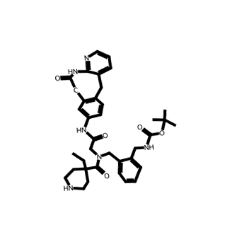 CCC1(C(=O)N(CC(=O)Nc2ccc3c(c2)CC(=O)Nc2ncccc2C3)Cc2ccccc2CNC(=O)OC(C)(C)C)CCNCC1